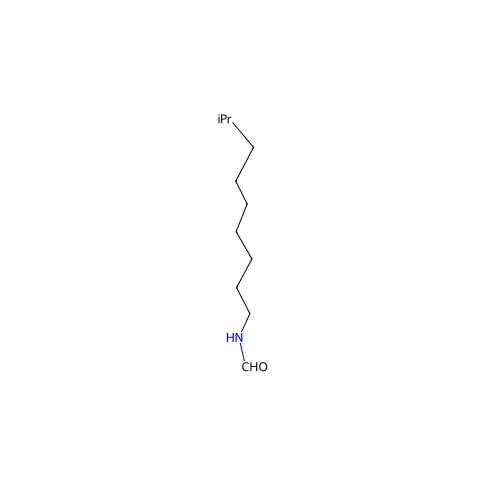 CC(C)CCCCCCCNC=O